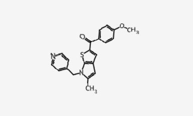 COc1ccc(C(=O)c2cc3cc(C)n(Cc4ccncc4)c3s2)cc1